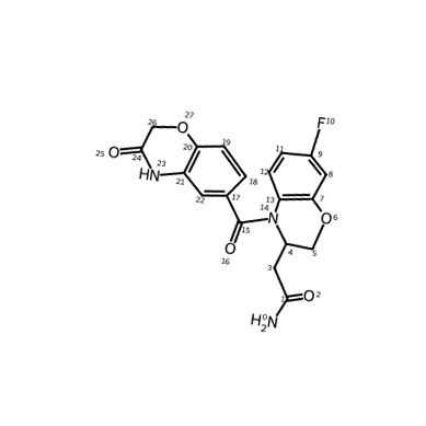 NC(=O)CC1COc2cc(F)ccc2N1C(=O)c1ccc2c(c1)NC(=O)CO2